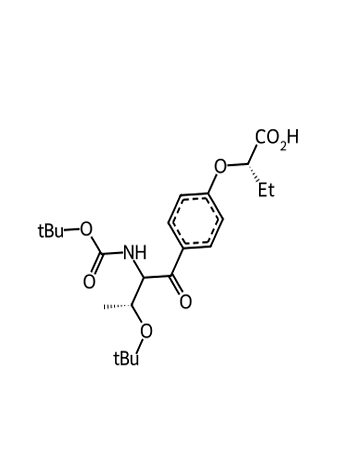 CC[C@H](Oc1ccc(C(=O)C(NC(=O)OC(C)(C)C)[C@@H](C)OC(C)(C)C)cc1)C(=O)O